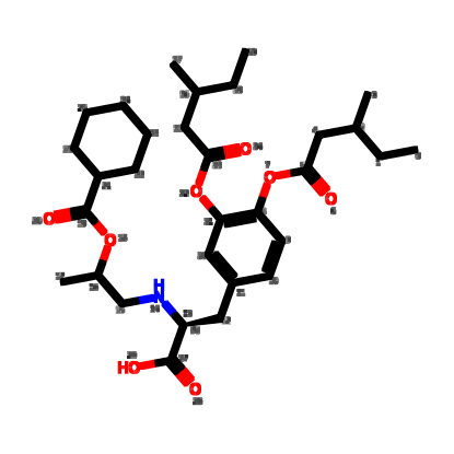 CCC(C)CC(=O)Oc1ccc(C[C@H](NCC(C)OC(=O)C2CCCCC2)C(=O)O)cc1OC(=O)CC(C)CC